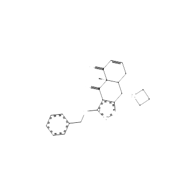 O=C1C=CCC2[C@H](N3CCC3)c3onc(OCc4ccccc4)c3C(=O)[C@]12O